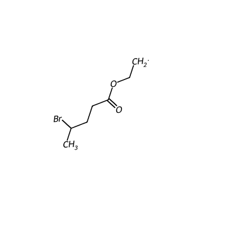 [CH2]COC(=O)CCC(C)Br